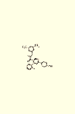 Cc1ccccc1-c1cc(-c2ccc(O)cc2)ncc1C(=O)N(C)Cc1cc(C(F)(F)F)cc(C(F)(F)F)c1